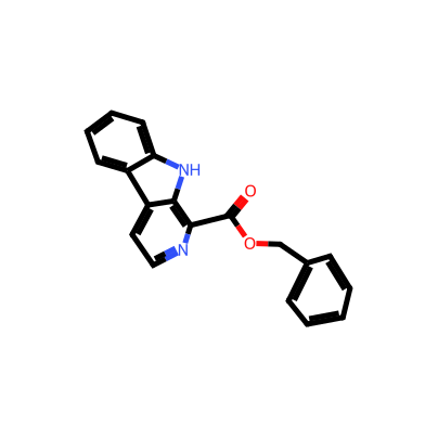 O=C(OCc1ccccc1)c1nccc2c1[nH]c1ccccc12